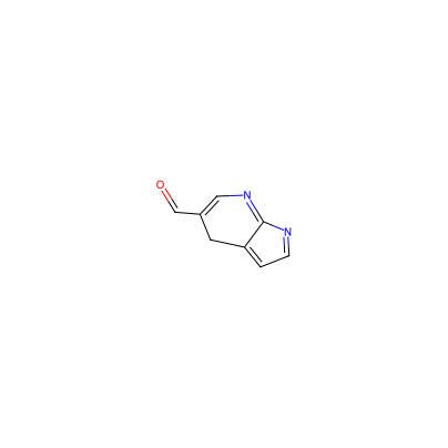 O=CC1=CN=C2N=CC=C2C1